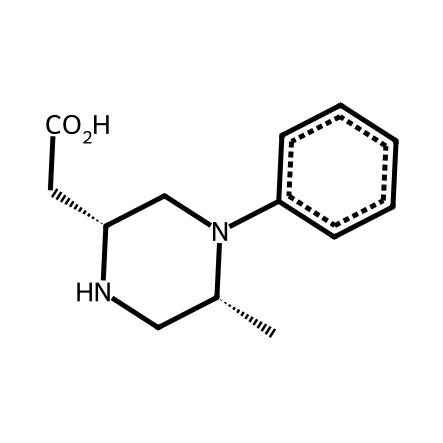 C[C@@H]1CN[C@H](CC(=O)O)CN1c1ccccc1